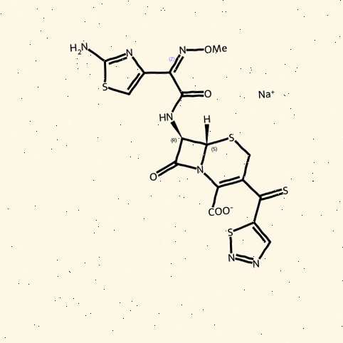 CO/N=C(\C(=O)N[C@@H]1C(=O)N2C(C(=O)[O-])=C(C(=S)c3cnns3)CS[C@@H]12)c1csc(N)n1.[Na+]